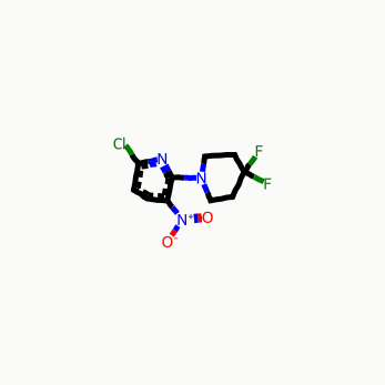 O=[N+]([O-])c1ccc(Cl)nc1N1CCC(F)(F)CC1